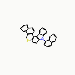 c1ccc2c(-n3c4ccccc4c4c5c(ccc43)SCc3c-5ccc4ccccc34)cccc2c1